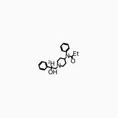 [2H]C(O)(CN1CCC(N(C(=O)CC)c2ccccc2)CC1)c1ccccc1